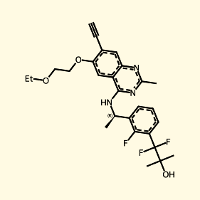 C#Cc1cc2nc(C)nc(N[C@H](C)c3cccc(C(F)(F)C(C)(C)O)c3F)c2cc1OCCOCC